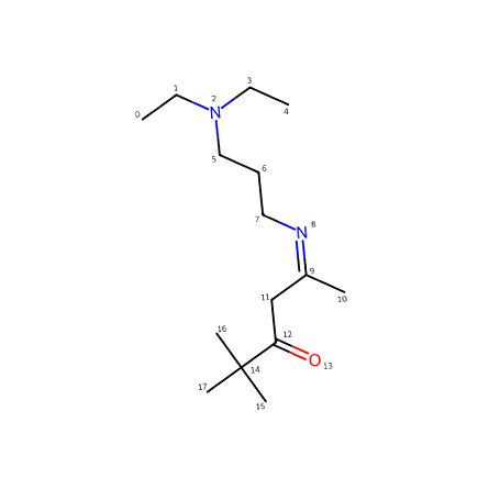 CCN(CC)CCCN=C(C)CC(=O)C(C)(C)C